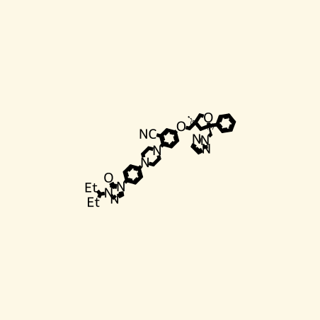 CCC(CC)n1ncn(-c2ccc(N3CCN(c4ccc(OC[C@@]5(C)CO[C@](Cn6nccn6)(c6ccccc6)C5)cc4C#N)CC3)cc2)c1=O